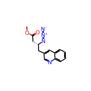 COC(=O)C[C@@H](Cc1cnc2ccccc2c1)N=[N+]=[N-]